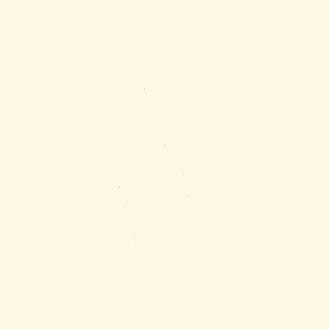 COc1c(F)c(F)cc(C(=O)O)c1F.COc1c(F)c(F)cc(C(=O)O)c1F.OCC#CCO